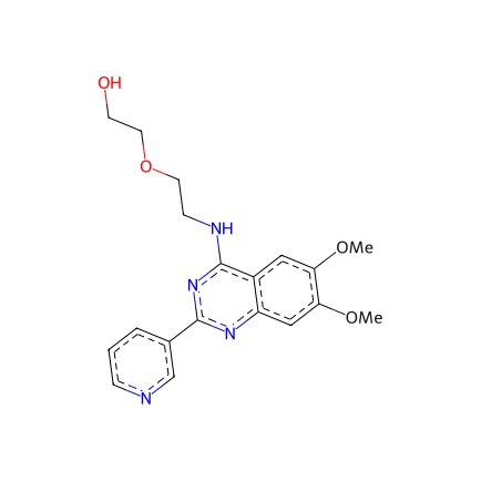 COc1cc2nc(-c3cccnc3)nc(NCCOCCO)c2cc1OC